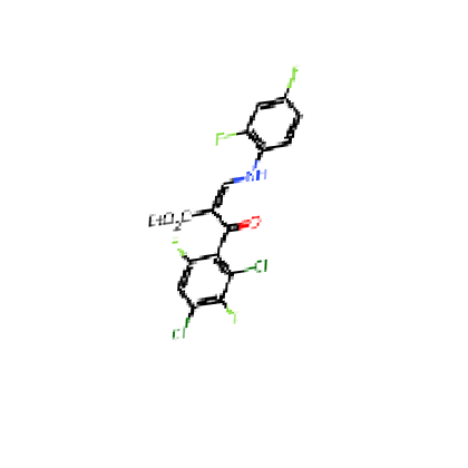 CCOC(=O)C(=CNc1ccc(F)cc1F)C(=O)c1c(F)cc(Cl)c(F)c1Cl